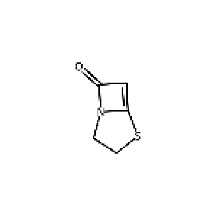 O=C1C=C2SCCN12